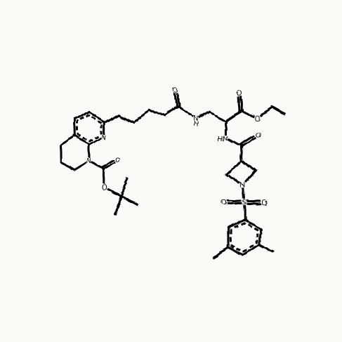 CCOC(=O)C(CNC(=O)CCCCc1ccc2c(n1)N(C(=O)OC(C)(C)C)CCC2)NC(=O)C1CN(S(=O)(=O)c2cc(C)cc(C)c2)C1